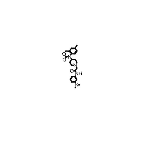 Cc1ccc2c(c1)COC(=O)N2C1CCN(CC(=O)Nc2cccc(N(C)C)c2)CC1